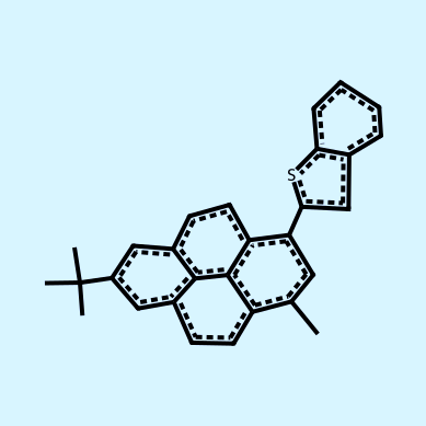 Cc1cc(-c2cc3ccccc3s2)c2ccc3cc(C(C)(C)C)cc4ccc1c2c43